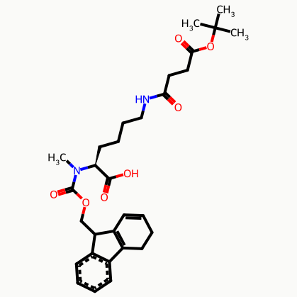 CN(C(=O)OCC1C2=C(CCC=C2)c2ccccc21)[C@@H](CCCCNC(=O)CCC(=O)OC(C)(C)C)C(=O)O